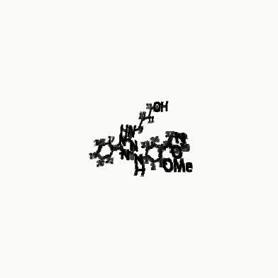 COc1cc(Nc2nc(NCCCCO)nc(-c3ccccc3)n2)ccc1-c1cnco1